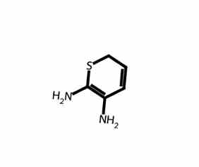 NC1=C(N)SCC=C1